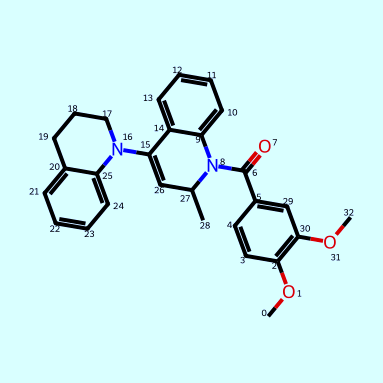 COc1ccc(C(=O)N2c3ccccc3C(N3CCCc4ccccc43)=CC2C)cc1OC